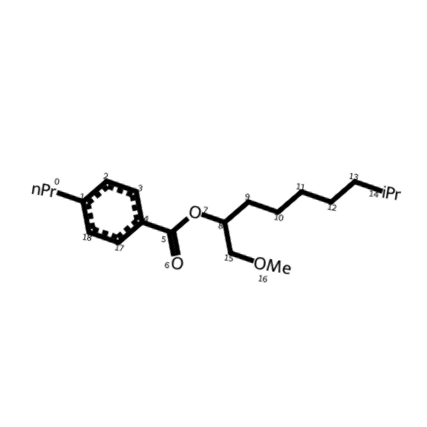 CCCc1ccc(C(=O)OC(CCCCCC(C)C)COC)cc1